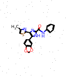 Cc1csc(-c2nc(C(=O)Nc3ccccc3)[nH]c2-c2ccc3c(c2)OCO3)n1